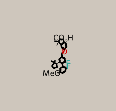 COc1ccc(F)c(-c2c(F)cc(COc3ccc4c(c3)[C@](C)(CC(=O)O)CC4)cc2[C@H]2CCCC2(C)C)c1